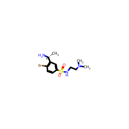 C[C@@H](N)c1cc(S(=O)(=O)NCCN(C)C)ccc1Br